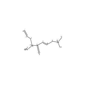 C=CCN(CCC)C(=O)/C=C/CN(C)C